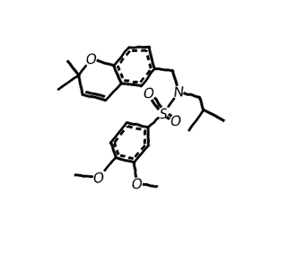 COc1ccc(S(=O)(=O)N(Cc2ccc3c(c2)C=CC(C)(C)O3)CC(C)C)cc1OC